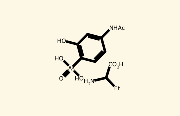 CC(=O)Nc1ccc([As](=O)(O)O)c(O)c1.CCC(N)C(=O)O